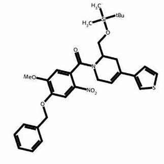 COc1cc(C(=O)N2CC=C(c3ccsc3)CC2CO[Si](C)(C)C(C)(C)C)c([N+](=O)[O-])cc1OCc1ccccc1